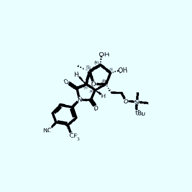 CC(C)(C)[Si](C)(C)OCC[C@]12O[C@](C)([C@H](O)[C@@H]1O)[C@H]1C(=O)N(c3ccc(C#N)c(C(F)(F)F)c3)C(=O)[C@H]12